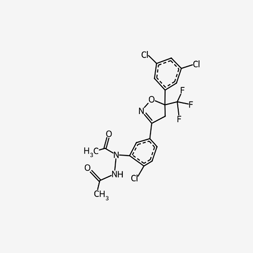 CC(=O)NN(C(C)=O)c1cc(C2=NOC(c3cc(Cl)cc(Cl)c3)(C(F)(F)F)C2)ccc1Cl